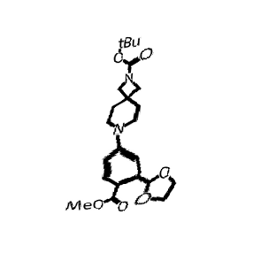 COC(=O)c1ccc(N2CCC3(CC2)CN(C(=O)OC(C)(C)C)C3)cc1C1OCCO1